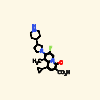 Cc1c(N2CCC(C3CCNCC3)C2)c(F)cn2c(=O)c(C(=O)O)cc(C3CC3)c12